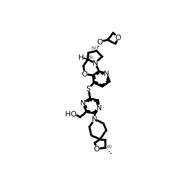 C[C@H]1CC2(CCN(c3ncc(Sc4ccnc5c4OC[C@@H]4C[C@H](OC6COC6)CN54)nc3CO)CC2)CO1